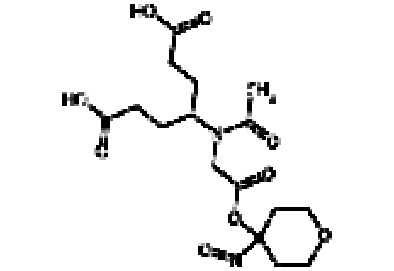 CC(=O)N(CC(=O)OC1(N=O)CCOCC1)C(CCC(=O)O)CCC(=O)O